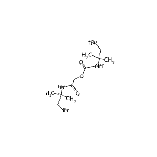 CC(C)CC(C)(C)NC(=O)COC(=O)NC(C)(C)CC(C)(C)C